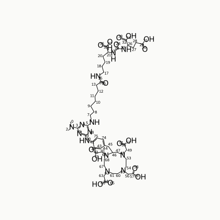 CN(C)c1nc(NCCCCCCCC(=O)NCCCCC(NC(=O)NC(CCC(=O)O)C(=O)O)C(=O)O)nc(Nc2ccc(CC3CN(CC(=O)O)CCN(CC(=O)O)CCN(CC(=O)O)CCN3CC(=O)O)cc2)n1